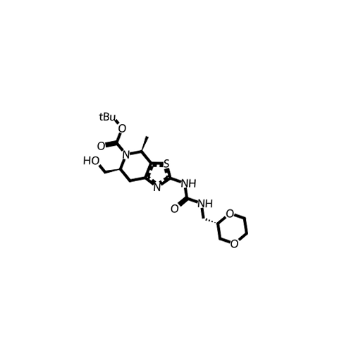 C[C@H]1c2sc(NC(=O)NC[C@H]3COCCO3)nc2C[C@@H](CO)N1C(=O)OC(C)(C)C